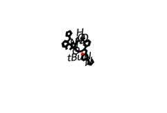 Cc1cccc(CC2CCCC2)c1-c1nc2nc(c1C)OC[C@@H](CC(C)(C)C)C(Cc1cccc(N3CCC[C@H]3C)n1)c1cccc(c1)S(=O)(=O)N2